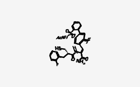 CC(=O)NS(=O)(=O)c1ccccc1-c1ccc(CC(NC(=O)[C@@H](CS)Cc2ccccc2F)C(N)=O)c(F)c1